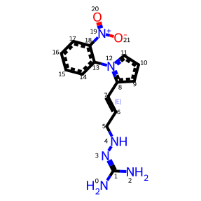 NC(N)=NNC/C=C/c1cccn1-c1ccccc1[N+](=O)[O-]